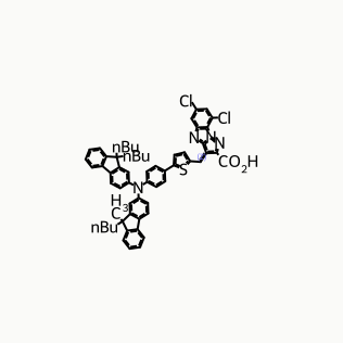 CCCCC1(C)c2ccccc2-c2ccc(N(c3ccc(-c4ccc(/C=c5/c(C(=O)O)nn6c5nc5cc(Cl)cc(Cl)c56)s4)cc3)c3ccc4c(c3)C(CCCC)(CCCC)c3ccccc3-4)cc21